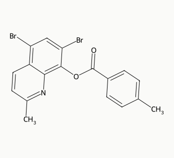 Cc1ccc(C(=O)Oc2c(Br)cc(Br)c3ccc(C)nc23)cc1